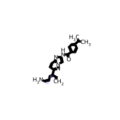 C=C/C(=C\C=C/N)c1ccc2nc(NC(=O)c3ccc(C(C)C)cc3)cn2n1